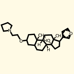 C[C@]12CCC(OCCN3CCCC3)CC1CC[C@@H]1[C@H]2CC[C@]2(C)C(c3ccoc3)CC[C@@]12O